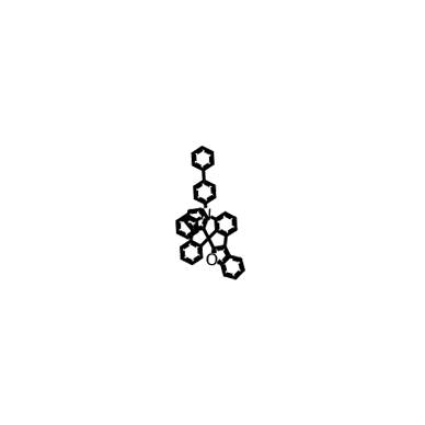 c1ccc(-c2ccc(N(c3ccccc3)c3cccc4c3C3(c5ccccc5-c5ccccc53)c3oc5ccccc5c3-4)cc2)cc1